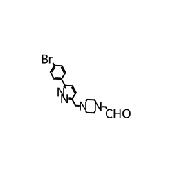 O=CCN1CCN(Cc2ccc(-c3ccc(Br)cc3)nn2)CC1